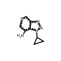 Nc1cncc2nnn(C3CC3)c12